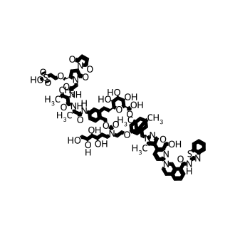 Cc1c(-c2ccc(N3CCc4cccc(C(=O)Nc5nc6ccccc6s5)c4C3)nc2C(=O)O)cnn1CC12CC3(C)CC(C)(C1)CC(OCCN(CC[C@@H](O)[C@H](O)[C@H](O)CO)C(=O)OCc1ccc(NC(=O)[C@H](C)NC(=O)[C@@H](NC(=O)CN4C(=O)[C@@H](N5C(=O)C=CC5=O)C[C@H]4COCCS(=O)(=O)O)C(C)C)cc1CC[C@@H]1O[C@H](C(=O)O)[C@@H](O)[C@H](O)[C@H]1O)(C3)C2